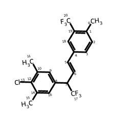 Cc1ccc(/C=C/C(c2cc(C)c(Cl)c(C)c2)C(F)(F)F)cc1C(F)(F)F